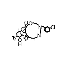 CO[C@]1(C)C[C@@H](C)CN(C)CCN(Cc2cccc(Cl)c2)CCCOC(=O)C(C)(C)C(=O)[C@H](C)[C@H]1O[C@@H]1O[C@H](C)C[C@H](N(C)C)[C@H]1O